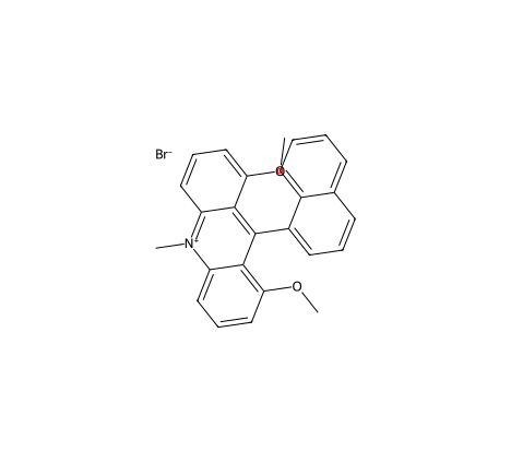 COc1cccc2c1c(-c1cccc3ccccc13)c1c(OC)cccc1[n+]2C.[Br-]